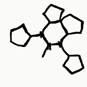 C[SiH](N(C1CCCC1)C1CCCC1)N(C1CCCC1)C1CCCC1